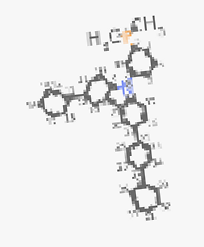 CP(C)c1cccc(-n2c3ccc(-c4ccccc4)cc3c3cc(-c4ccc(-c5ccccc5)cc4)ccc32)c1